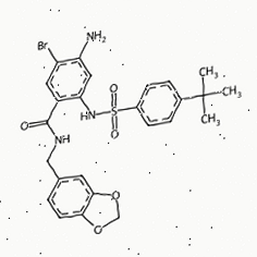 CC(C)(C)c1ccc(S(=O)(=O)Nc2cc(N)c(Br)cc2C(=O)NCc2ccc3c(c2)OCO3)cc1